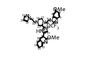 COc1ccc2nc(C(F)(F)F)n(CC(=O)N3CCN(CCn4cccn4)CC3c3ncc(-c4cc5ccccc5nc4OC)[nH]3)c2c1